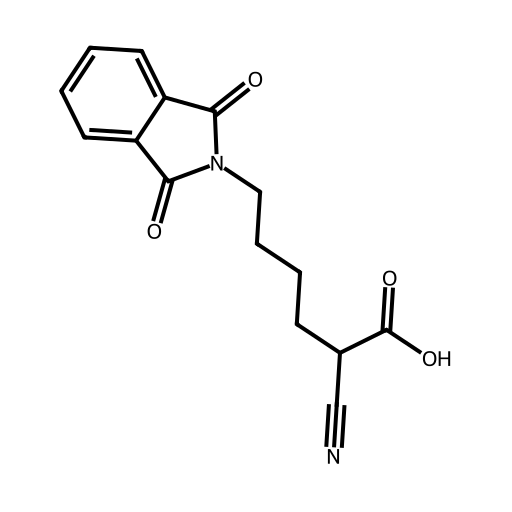 N#CC(CCCCN1C(=O)c2ccccc2C1=O)C(=O)O